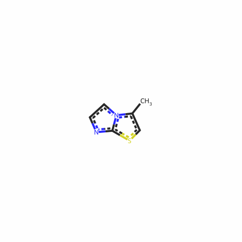 Cc1csc2nccn12